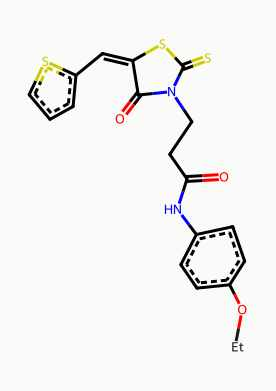 CCOc1ccc(NC(=O)CCN2C(=O)/C(=C\c3cccs3)SC2=S)cc1